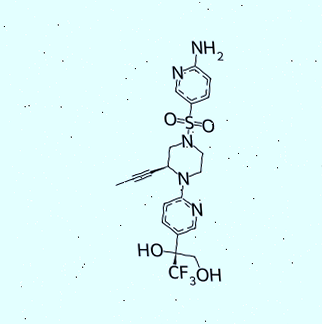 CC#C[C@H]1CN(S(=O)(=O)c2ccc(N)nc2)CCN1c1ccc([C@@](O)(CO)C(F)(F)F)cn1